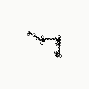 CC(=O)CCOCCOCCN1C(=O)C=C(CCCCCCCN2C(=O)C=C(CC(=O)CCCCCN3C(=O)C=CC3=O)C2=O)C1=O